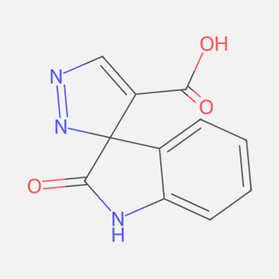 O=C(O)C1=CN=NC12C(=O)Nc1ccccc12